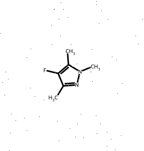 Cc1nn(C)c(C)c1F